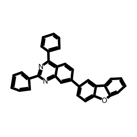 c1ccc(-c2nc(-c3ccccc3)c3ccc(-c4ccc5oc6ccccc6c5c4)cc3n2)cc1